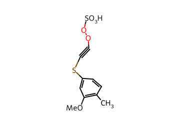 COc1cc(SC#COOS(=O)(=O)O)ccc1C